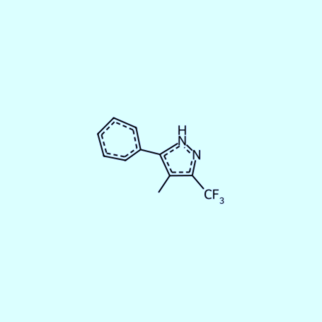 Cc1c(C(F)(F)F)n[nH]c1-c1ccccc1